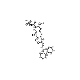 COc1cc(CC(NC(=O)OCC2c3ccccc3-c3ccccc32)C(=O)O)ccc1C(=O)NS(C)(=O)=O